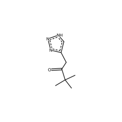 CC(C)(C)C(=O)Cc1c[nH]nn1